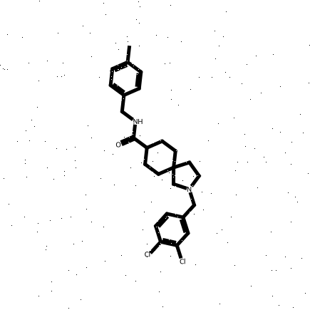 Cc1ccc(CNC(=O)C2CCC3(CC2)CCN(Cc2ccc(Cl)c(Cl)c2)C3)cc1